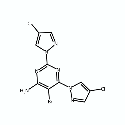 Nc1nc(-n2cc(Cl)cn2)nc(-n2cc(Cl)cn2)c1Br